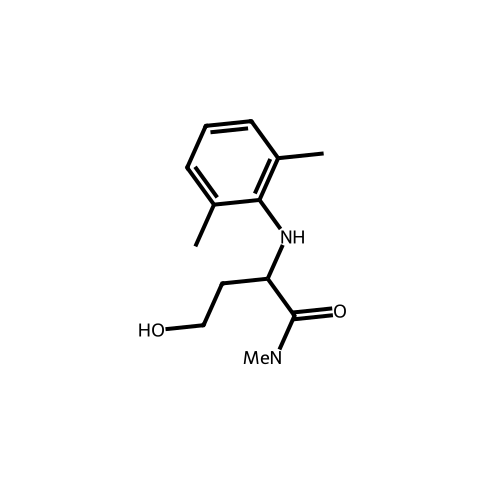 CNC(=O)C(CCO)Nc1c(C)cccc1C